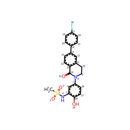 CS(=O)(=O)Nc1cc(N2CCc3cc(-c4ccc(F)cc4)ccc3C2=O)ccc1O